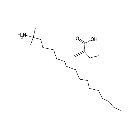 C=C(CC)C(=O)O.CCCCCCCCCCCCCCCC(C)(C)N